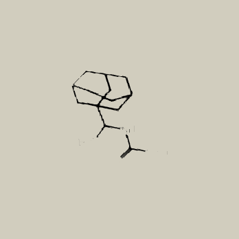 CC(NC(=O)S(=O)(=O)O)C12CC3CC(CC(C3)C1)C2